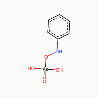 O=[As](O)(O)ONc1ccccc1